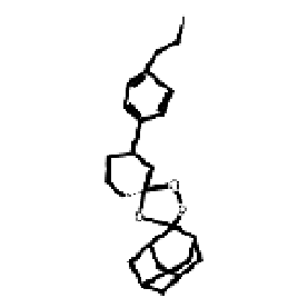 ICCc1ccc(C2CCC[C@]3(C2)OOC2(O3)C3CC4CC(C3)CC2C4)cc1